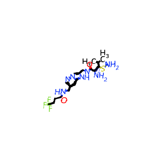 CC(C)/C(SN)=C(/N)C(=O)NCc1cn2ncc(CNC(=O)CCC(F)(F)F)cc2n1